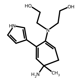 CC1(N)C=C(c2cc[nH]c2)C(N(CCO)CCO)=CC1